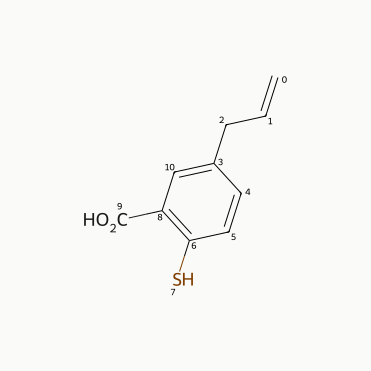 C=CCc1ccc(S)c(C(=O)O)c1